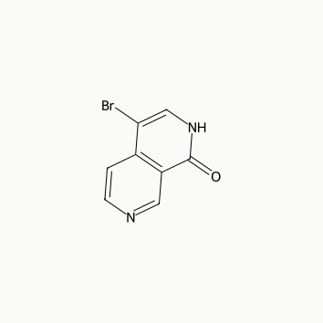 O=c1[nH]cc(Br)c2ccncc12